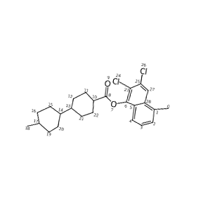 Cc1cccc2c(OC(=O)C3CCC(C4CCC(C)CC4)CC3)c(Cl)c(Cl)cc12